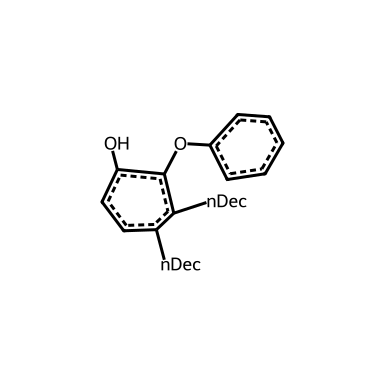 CCCCCCCCCCc1ccc(O)c(Oc2ccccc2)c1CCCCCCCCCC